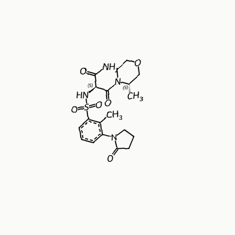 Cc1c(N2CCCC2=O)cccc1S(=O)(=O)N[C@@H](C(N)=O)C(=O)N1CCOC[C@@H]1C